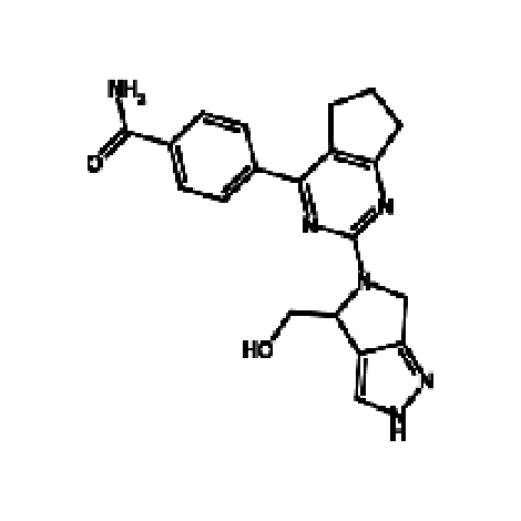 NC(=O)c1ccc(-c2nc(N3Cc4n[nH]cc4C3CO)nc3c2CCC3)cc1